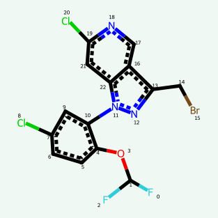 FC(F)Oc1ccc(Cl)cc1-n1nc(CBr)c2cnc(Cl)cc21